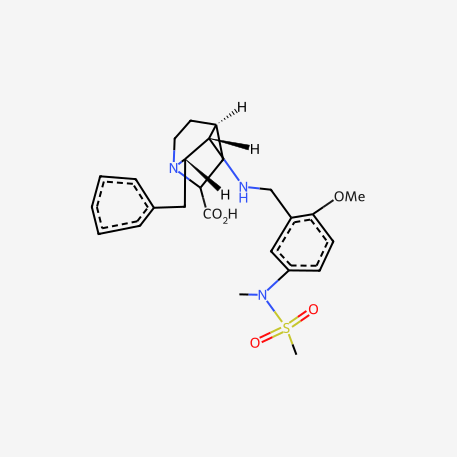 COc1ccc(N(C)S(C)(=O)=O)cc1CN[C@H]1[C@H]2CCN(C(C(=O)O)C2)[C@H]1Cc1ccccc1